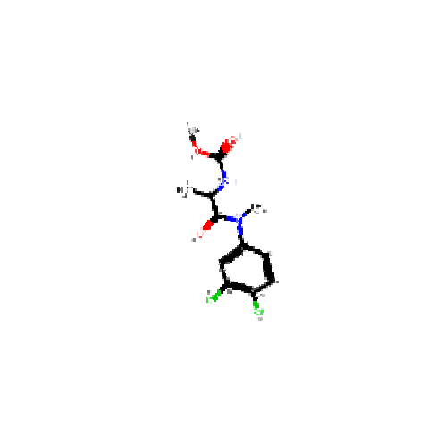 CC(NC(=O)OC(C)(C)C)C(=O)N(C)c1ccc(Cl)c(Cl)c1